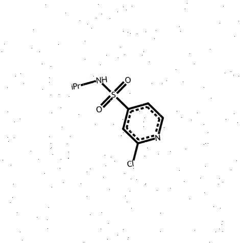 CC(C)NS(=O)(=O)c1ccnc(Cl)c1